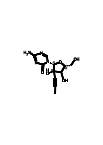 CC#C[C@@]1(O)C(O)[C@@H](CO)O[C@H]1n1cnc(N)nc1=O